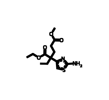 CCOC(=O)C(CC)(CCC(=O)OC)c1csc(N)n1